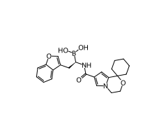 O=C(N[C@@H](Cc1coc2ccccc12)B(O)O)c1cc2n(c1)CCOC21CCCCC1